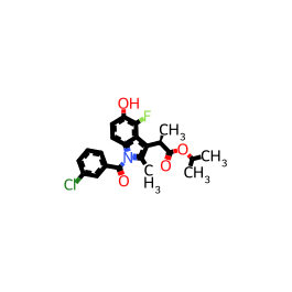 Cc1c([C@@H](C)C(=O)OC(C)C)c2c(F)c(O)ccc2n1C(=O)c1cccc(Cl)c1